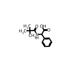 CC(C)(C)C(=O)NC(C(=O)O)c1ccccc1